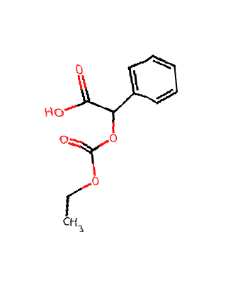 CCOC(=O)OC(C(=O)O)c1ccccc1